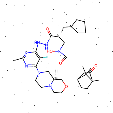 CC12CCC(CC1=O)C2(C)C.Cc1nc(NNC(=O)[C@H](CC2CCCC2)CN(O)C=O)c(F)c(N2CCN3CCOC[C@@H]3C2)n1